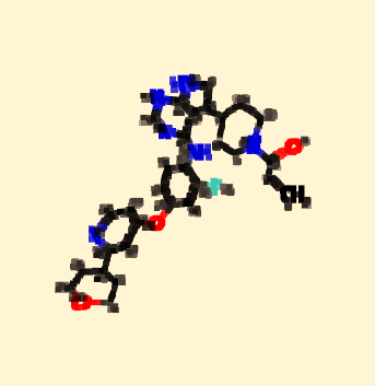 C=CC(=O)N1CCC(c2c[nH]c3ncnc(Nc4ccc(Oc5ccnc(C6CCOCC6)c5)cc4F)c23)CC1